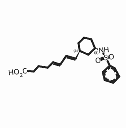 O=C(O)CCCC=CC=C[C@H]1CCC[C@H](NS(=O)(=O)c2ccccc2)C1